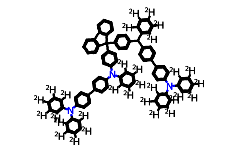 [2H]c1c([2H])c([2H])c(C(c2ccc(-c3ccc(N(c4c([2H])c([2H])c([2H])c([2H])c4[2H])c4c([2H])c([2H])c([2H])c([2H])c4[2H])cc3)cc2)c2ccc(C3(c4ccc(N(c5ccc(-c6ccc(N(c7c([2H])c([2H])c([2H])c([2H])c7[2H])c7c([2H])c([2H])c([2H])c([2H])c7[2H])cc6)cc5)c5c([2H])c([2H])c([2H])c([2H])c5[2H])cc4)c4ccccc4-c4ccccc43)cc2)c([2H])c1[2H]